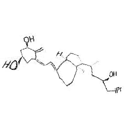 C=C1/C(=C\C=C2CCC[C@@]3(C)[C@@H]2CC[C@@H]3[C@H](C)C[C@@H](O)CC(C)C)C[C@@H](O)C[C@H]1O